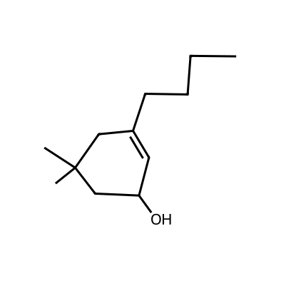 CCCCC1=CC(O)CC(C)(C)C1